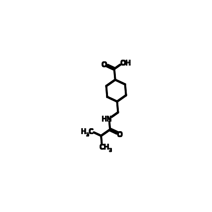 CC(C)C(=O)NCC1CCC(C(=O)O)CC1